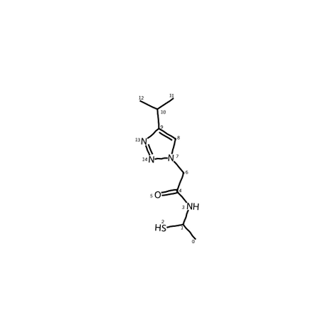 CC(S)NC(=O)Cn1cc(C(C)C)nn1